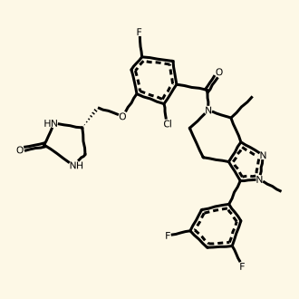 CC1c2nn(C)c(-c3cc(F)cc(F)c3)c2CCN1C(=O)c1cc(F)cc(OC[C@@H]2CNC(=O)N2)c1Cl